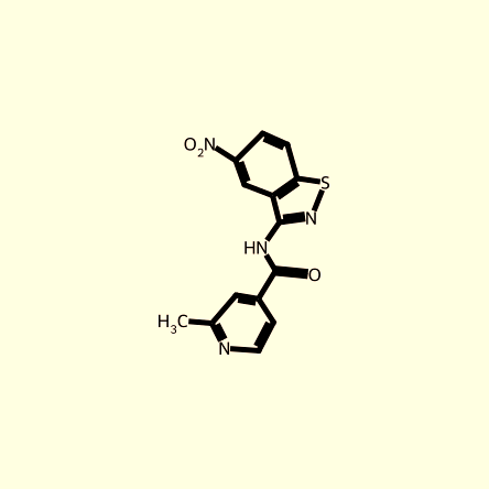 Cc1cc(C(=O)Nc2nsc3ccc([N+](=O)[O-])cc23)ccn1